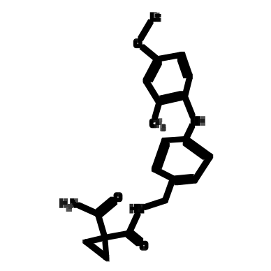 CCOc1ccc(Nc2ccc(CNC(=O)C3(C(N)=O)CC3)cc2)c(C(F)(F)F)c1